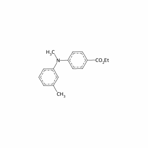 CCOC(=O)c1ccc(N(C)c2cccc(C)c2)cc1